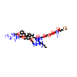 CCCCCCCCN(CCCC(C)C1CC[C@H]2C([C@@H](CC3CCC[C@@H](OCCCN)C3)OCCCN)[C@@H](CC)C[C@H](OCCCN)[C@]12C)C(=O)NCCOCCOCCOCCNC(=O)CCCS